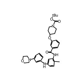 Cc1ccc(Nc2cccc(N3CCOCC3)c2)cc1NC(=O)c1cccc(OC2CCN(C(=O)OC(C)(C)C)CC2)c1